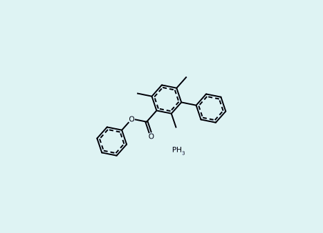 Cc1cc(C)c(-c2ccccc2)c(C)c1C(=O)Oc1ccccc1.P